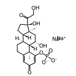 C[C@@]12C(=CC(=O)C=C1OP(=O)([O-])[O-])CC[C@@H]1[C@@H]2[C@@H](O)C[C@@]2(C)[C@H]1CC[C@]2(O)C(=O)CO.[Na+].[Na+]